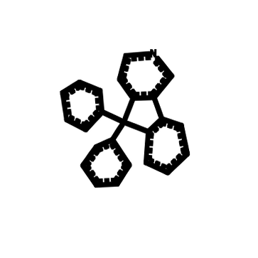 c1ccc(C2(c3ccccc3)c3ccccc3-c3cnccc32)cc1